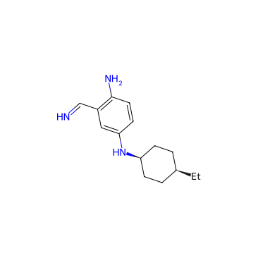 CC[C@H]1CC[C@@H](Nc2ccc(N)c(C=N)c2)CC1